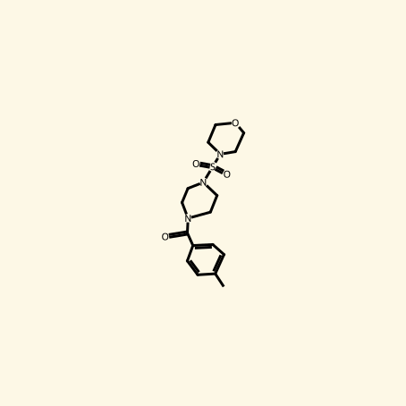 Cc1ccc(C(=O)N2CCN(S(=O)(=O)N3CCOCC3)CC2)cc1